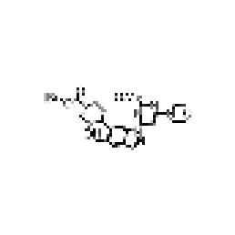 COc1nc(N2CCOCC2)cc(-n2ncc3cc(C)c(C4CCN(C(=O)OC(C)(C)C)CC4O)cc32)n1